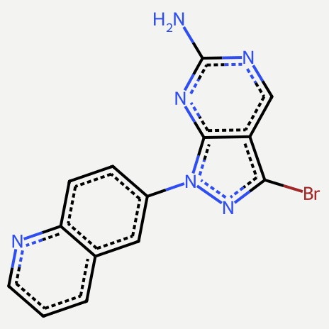 Nc1ncc2c(Br)nn(-c3ccc4ncccc4c3)c2n1